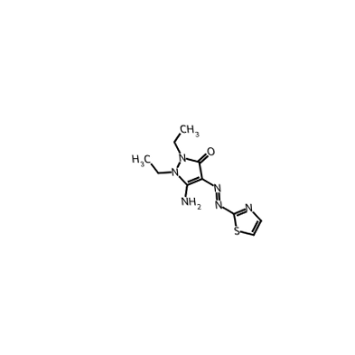 CCn1c(N)c(N=Nc2nccs2)c(=O)n1CC